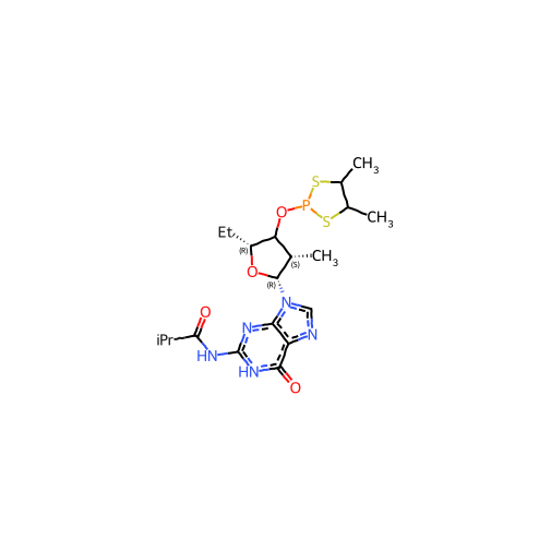 CC[C@H]1O[C@@H](n2cnc3c(=O)[nH]c(NC(=O)C(C)C)nc32)[C@@H](C)C1OP1SC(C)C(C)S1